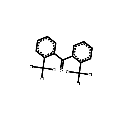 O=C(c1ccccc1C(Cl)(Cl)Cl)c1ccccc1C(Cl)(Cl)Cl